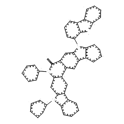 O=c1c2cc3c(cc2c2cc4c5ccccc5n(-c5ccccc5)c4cc2n1-c1ccccc1)c1ccccc1n3-c1cccc2c1sc1ccccc12